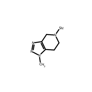 Cn1nnc2c1CCN(S)C2